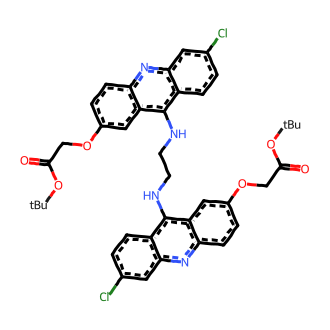 CC(C)(C)OC(=O)COc1ccc2nc3cc(Cl)ccc3c(NCCNc3c4ccc(Cl)cc4nc4ccc(OCC(=O)OC(C)(C)C)cc34)c2c1